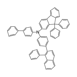 c1ccc(-c2ccc(N(c3ccc(-c4ccc5ccccc5c4-c4ccccc4)cc3)c3ccc4c(c3)C(c3ccccc3)(c3ccccc3)c3ccccc3-4)cc2)cc1